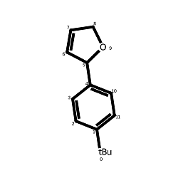 CC(C)(C)c1ccc(C2C=CCO2)cc1